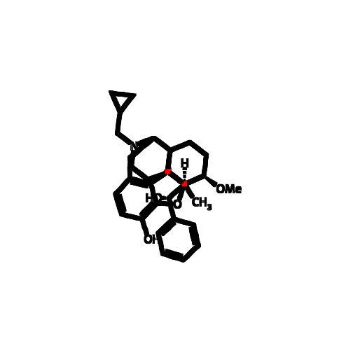 CO[C@]12CCC3(CC1(C)[C@@H](O)c1ccccc1)C1Cc4ccc(O)c5c4[C@@]3(CCN1CC1CC1)[C@@H]2O5